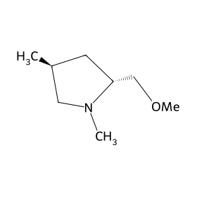 COC[C@H]1C[C@H](C)CN1C